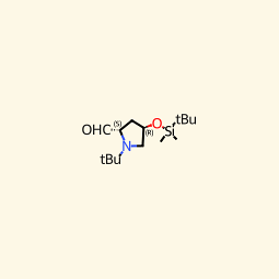 CC(C)(C)N1C[C@H](O[Si](C)(C)C(C)(C)C)C[C@H]1C=O